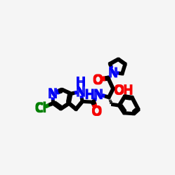 O=C(N[C@@H](Cc1ccccc1)[C@H](O)C(=O)N1CCCC1)C1Cc2cc(Cl)ncc2N1